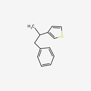 CC(Cc1ccccc1)c1ccsc1